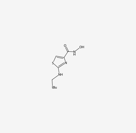 CC(C)(C)CNc1nc(C(=O)NO)cs1